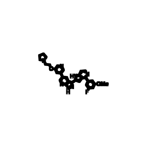 COc1cc(F)cc(-c2nccc3[nH]c(-c4n[nH]c5ncc(-c6cncc(OCCN7CCCC7)c6)cc45)cc23)c1